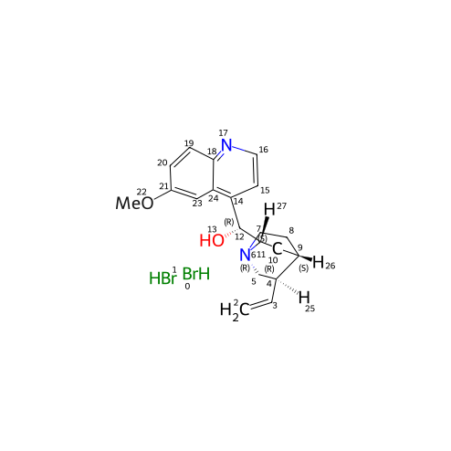 Br.Br.C=C[C@H]1C[N@]2CC[C@H]1C[C@H]2[C@H](O)c1ccnc2ccc(OC)cc12